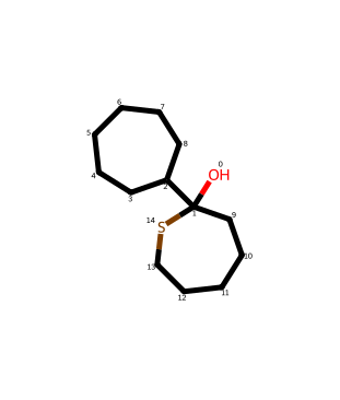 OC1(C2CCCCCC2)CCCCCS1